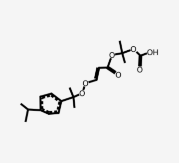 CC(C)c1ccc(C(C)(C)OOC=CC(=O)OC(C)(C)OC(=O)O)cc1